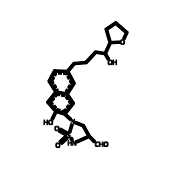 O=CC1CN(c2cc3cc(CCCC(O)C4CCCO4)ccc3cc2O)S(=O)(=O)N1